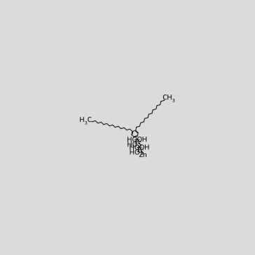 CCCCCCCCCCCCCCCc1ccccc1CCCCCCCCCCCCCCC.OP(O)(O)=S.OP(O)(O)=S.[Zn]